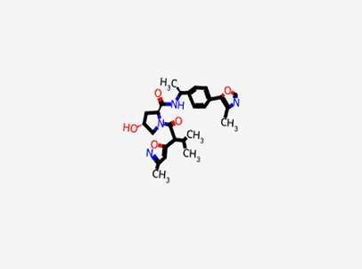 Cc1cc(C(C(=O)N2C[C@H](O)C[C@H]2C(=O)N[C@@H](C)c2ccc(-c3ocnc3C)cc2)C(C)C)on1